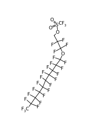 O=S(=O)(OCC(F)(F)C(F)(F)OC(F)(F)C(F)(F)C(F)(F)C(F)(F)C(F)(F)C(F)(F)C(F)(F)C(F)(F)C(F)(F)C(F)(F)F)C(F)(F)F